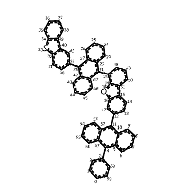 c1ccc(-c2c3ccccc3c(-c3ccc4c(c3)oc3c(-c5c6ccccc6c(-c6ccc7sc8ccccc8c7c6)c6ccccc56)cccc34)c3ccccc23)cc1